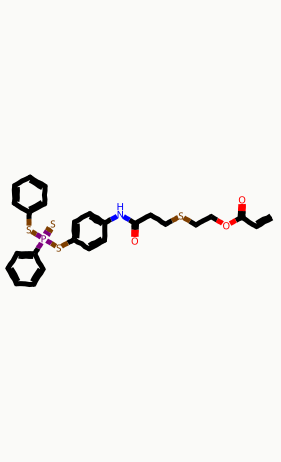 C=CC(=O)OCCSCCC(=O)Nc1ccc(SP(=S)(Sc2ccccc2)c2ccccc2)cc1